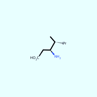 CC(C)[C@@H](C)[C@@H](N)CC(=O)O